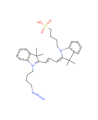 CC1(C)C(/C=C/C=C2\N(CCCCS(=O)(=O)O)c3ccccc3C2(C)C)=[N+](CCCCN=[N+]=[N-])c2ccccc21